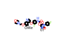 CCn1cc(OC(=O)Nc2ccc(Oc3ccnc4cc(OCCN5CCOCC5)c(OC)cc34)c(F)c2)c(=O)n(-c2ccc(F)cc2)c1=O